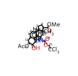 COC(=O)C1CC[C@H]2[C@@H]3CCC4CC(OC(C)=O)C(O)C[C@]4(C)[C@@H]3C(NC(=O)OCC(Cl)(Cl)Cl)C[C@]12C